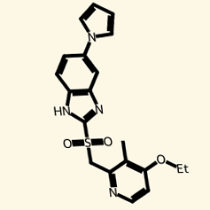 CCOc1ccnc(CS(=O)(=O)c2nc3cc(-n4cccc4)ccc3[nH]2)c1C